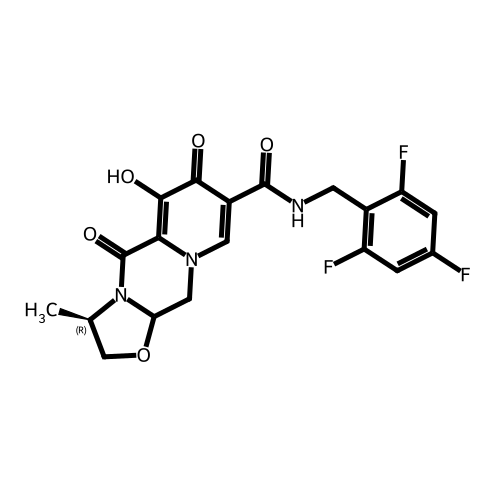 C[C@@H]1COC2Cn3cc(C(=O)NCc4c(F)cc(F)cc4F)c(=O)c(O)c3C(=O)N21